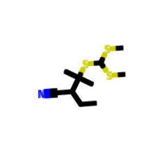 CCC(C#N)C(C)(C)SC(SC)SC